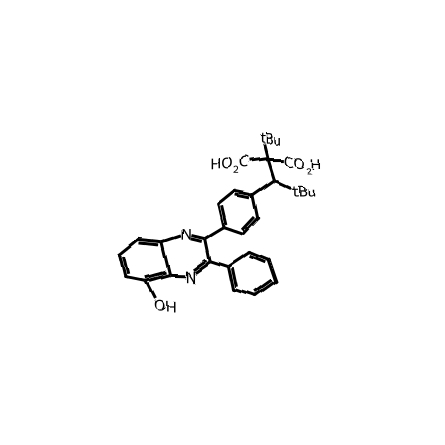 CC(C)(C)C(c1ccc(-c2nc3cccc(O)c3nc2-c2ccccc2)cc1)C(C(=O)O)(C(=O)O)C(C)(C)C